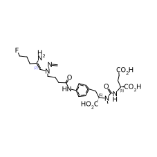 C=NN(/C=C(\N)CCCF)CCCC(=O)Nc1ccc(C[C@@H](C(=O)O)N(C)C(=O)N[C@@H](CCC(=O)O)C(=O)O)cc1